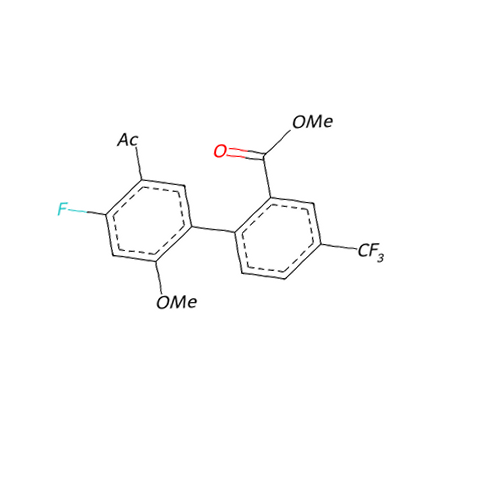 COC(=O)c1cc(C(F)(F)F)ccc1-c1cc(C(C)=O)c(F)cc1OC